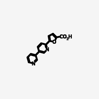 O=C(O)c1ccc(-c2ccc(-c3cccnc3)cn2)o1